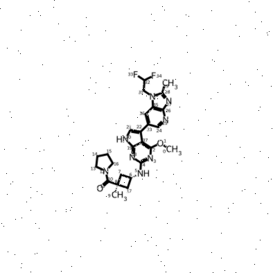 COc1nc(N[C@H]2C[C@](C)(C(=O)N3CCCC3)C2)nc2[nH]cc(-c3cnc4nc(C)n(CC(F)F)c4c3)c12